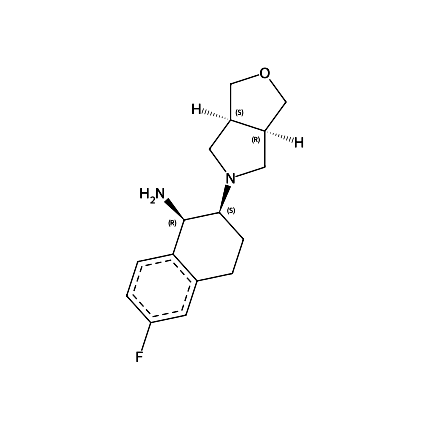 N[C@@H]1c2ccc(F)cc2CC[C@@H]1N1C[C@H]2COC[C@H]2C1